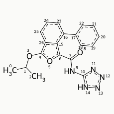 CC(C)Oc1oc(C(=O)Nc2nnn[nH]2)c2c(-c3ccccc3)cccc12